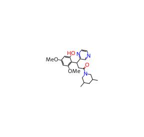 COc1cc(O)c(C(CC(=O)N2CC(C)CC(C)C2)c2cnccn2)c(OC)c1